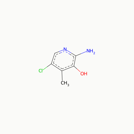 Cc1c(Cl)cnc(N)c1O